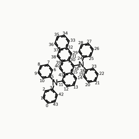 c1ccc(N(c2ccccc2)c2cccc3c(N(c4ccccc4)c4ccccc4)c4cc5ccccc5cc4cc23)cc1